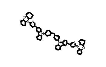 C1=CC2=C(C=CC1)N(c1ccc(-c3ccc4c(c3)c3ccccc3n4-c3ccc(Cc4ccc(-n5c6ccccc6c6cc(-c7ccc(N8c9ccccc9Oc9ccccc98)nc7)ccc65)cc4)cc3)cn1)c1ccccc1O2